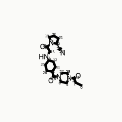 CCC(=O)N1CCN(C(=O)C2CCC(NCC(=O)N3CCC[C@H]3C#N)CC2)CC1